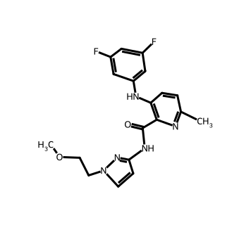 COCCn1ccc(NC(=O)c2nc(C)ccc2Nc2cc(F)cc(F)c2)n1